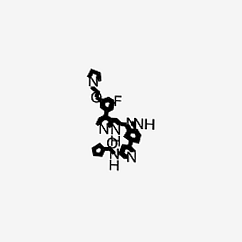 O=C(Nc1cncc(-c2ccc3[nH]nc(-c4cc5c(-c6cc(F)cc(OCCN7CCCC7)c6)ccnc5[nH]4)c3c2)c1)C1CCCC1